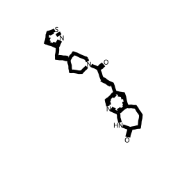 O=C1CCCc2cc(/C=C/C(=O)N3CCC(=Cc4ccsn4)CC3)cnc2N1